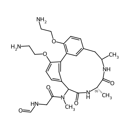 CC1Cc2ccc(OCCN)c(c2)-c2cc(ccc2OCCN)C(N(C)C(=O)CNC=O)C(=O)N[C@@H](C)C(=O)N1